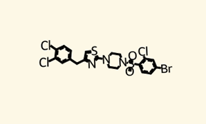 O=S(=O)(c1ccc(Br)cc1Cl)N1CCN(c2nc(Cc3ccc(Cl)c(Cl)c3)cs2)CC1